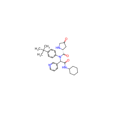 CC(C)(C)c1ccc(N(C(=O)[C@H]2CC(=O)CN2)C(C(=O)NC2CCCCC2)c2cccnc2)cc1